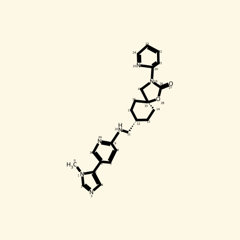 Cn1cncc1-c1ccc(NC[C@H]2CC[C@]3(CC2)CN(c2ccccn2)C(=O)O3)nc1